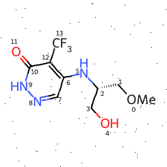 COC[C@H](CO)Nc1cn[nH]c(=O)c1C(F)(F)F